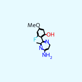 COc1cc(O)c(C2=NCC=C(N)N=C2C)c(F)c1